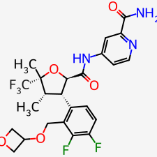 C[C@H]1[C@@H](c2ccc(F)c(F)c2COC2COC2)[C@H](C(=O)Nc2ccnc(C(N)=O)c2)O[C@@]1(C)C(F)(F)F